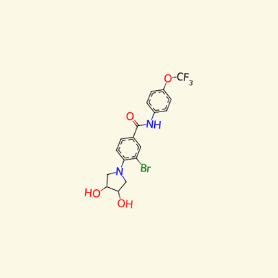 O=C(Nc1ccc(OC(F)(F)F)cc1)c1ccc(N2CC(O)C(O)C2)c(Br)c1